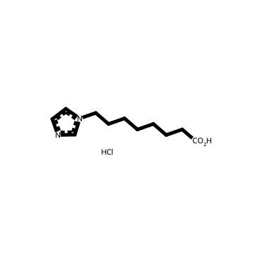 Cl.O=C(O)CCCCCCCn1ccnc1